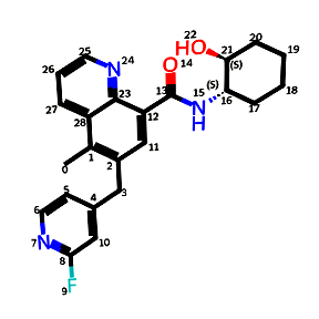 Cc1c(Cc2ccnc(F)c2)cc(C(=O)N[C@H]2CCCC[C@@H]2O)c2ncccc12